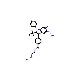 C=NNc1cc2c(-c3ccc(C(=O)NCCCS(C)(=O)=O)cc3)c(C(C)(C)COC)n(-c3ccc(F)cc3)c2cc1C